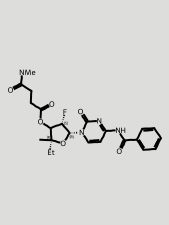 CC[C@@]1(C)O[C@@H](n2ccc(NC(=O)c3ccccc3)nc2=O)[C@@H](F)C1OC(=O)CCC(=O)NC